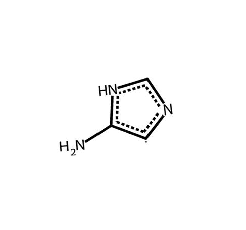 Nc1[c]nc[nH]1